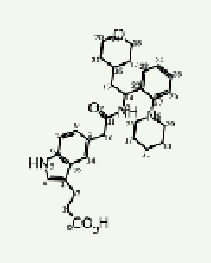 O=C(O)CCc1c[nH]c2ccc(CC(=O)NC(CC3CCOCC3)c3ccccc3N3CCCCC3)cc12